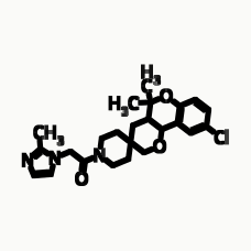 Cc1nccn1CC(=O)N1CCC2(CC1)COC1c3cc(Cl)ccc3OC(C)(C)C1C2